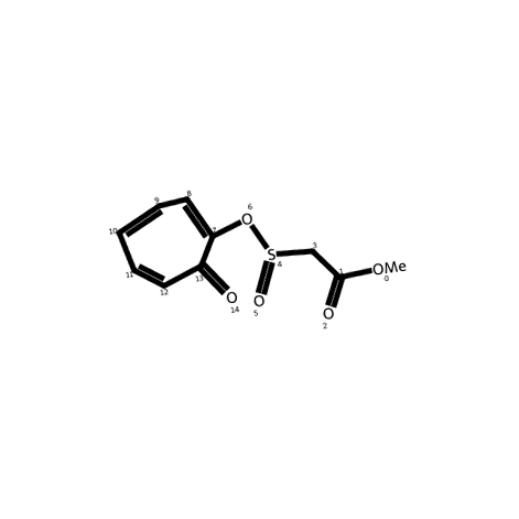 COC(=O)CS(=O)Oc1cccccc1=O